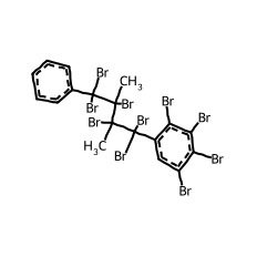 CC(Br)(C(Br)(Br)c1ccccc1)C(C)(Br)C(Br)(Br)c1cc(Br)c(Br)c(Br)c1Br